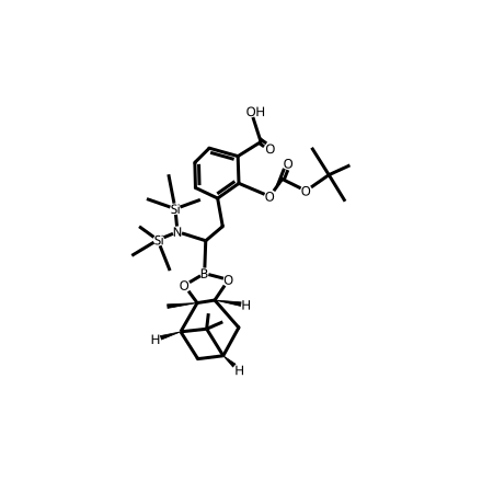 CC(C)(C)OC(=O)Oc1c(CC(B2O[C@@H]3C[C@@H]4C[C@@H](C4(C)C)[C@]3(C)O2)N([Si](C)(C)C)[Si](C)(C)C)cccc1C(=O)O